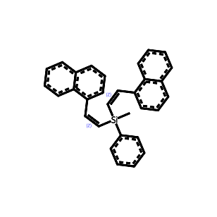 C[Si](/C=C\c1cccc2ccccc12)(/C=C\c1cccc2ccccc12)c1ccccc1